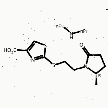 CCCNCCC.C[C@@H]1CCC(=O)N1CCSc1nc(C(=O)O)cs1